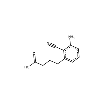 N#Cc1c(N)cccc1CCCC(=O)O